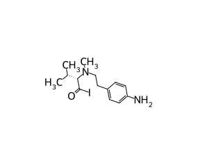 CC(C)[C@@H](C(=O)I)N(C)CCc1ccc(N)cc1